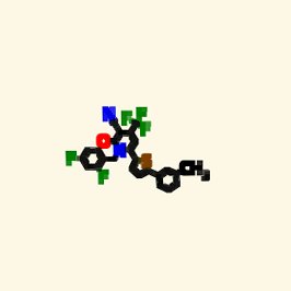 Cc1cccc(-c2ccc(-c3cc(C(F)(F)F)c(C#N)c(=O)n3Cc3ccc(F)cc3F)s2)c1